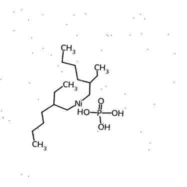 CCCCC(CC)[CH2][Ni][CH2]C(CC)CCCC.O=P(O)(O)O